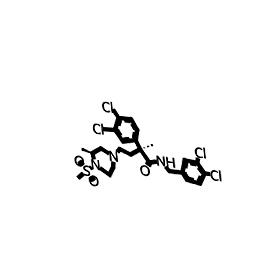 C[C@H]1CN(CC[C@](C)(C(=O)NCc2ccc(Cl)c(Cl)c2)c2ccc(Cl)c(Cl)c2)CCN1S(C)(=O)=O